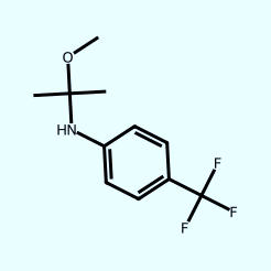 COC(C)(C)Nc1ccc(C(F)(F)F)cc1